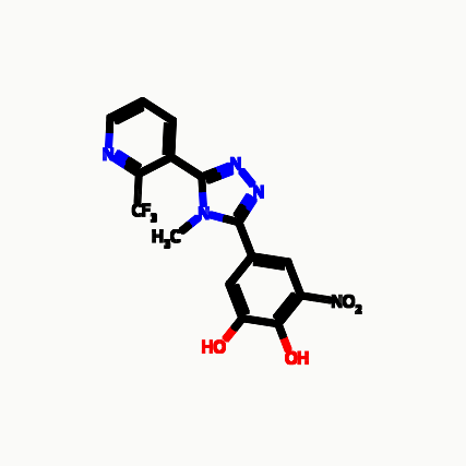 Cn1c(-c2cc(O)c(O)c([N+](=O)[O-])c2)nnc1-c1cccnc1C(F)(F)F